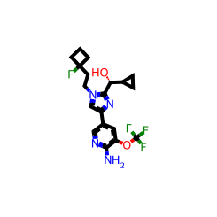 Nc1ncc(-c2cn(CCC3(F)CCC3)c([C@H](O)C3CC3)n2)cc1OC(F)(F)F